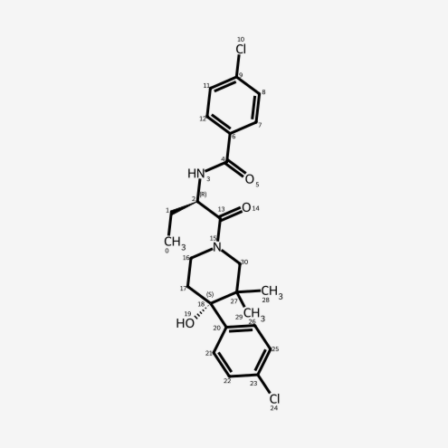 CC[C@@H](NC(=O)c1ccc(Cl)cc1)C(=O)N1CC[C@](O)(c2ccc(Cl)cc2)C(C)(C)C1